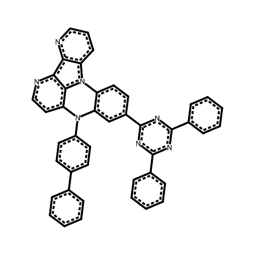 c1ccc(-c2ccc(N3c4cc(-c5nc(-c6ccccc6)nc(-c6ccccc6)n5)ccc4-n4c5cccnc5c5nccc3c54)cc2)cc1